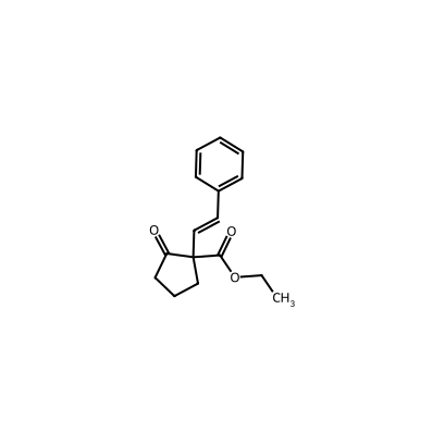 CCOC(=O)C1(C=Cc2ccccc2)CCCC1=O